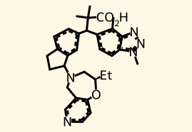 CC[C@@H]1CN(C2CCc3ccc(C(c4ccc5c(nnn5C)c4C)C(C)(C)C(=O)O)cc32)Cc2cnccc2O1